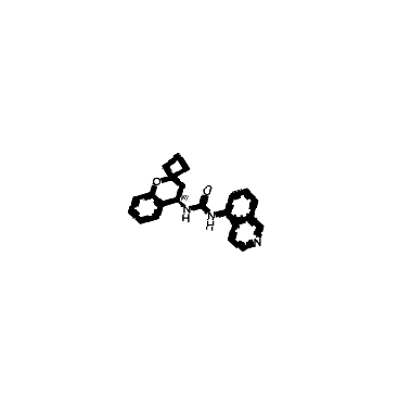 O=C(Nc1cccc2cnccc12)N[C@@H]1CC2(CCC2)Oc2ccccc21